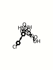 O=C1NC(=O)C(c2ccc(C#Cc3ccc(Cl)cc3)cc2)(N2CCC3(CC2)CN(C(=O)CO)C3)C(=O)N1